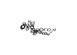 CC(C)(C)N1CCN(C(OC2CCC(C(=O)O)CC2)(C(=O)Cc2cc(Cl)c(NC(=O)c3coc4ccccc34)cc2Cl)N2CCCC2)CC1